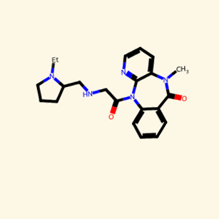 CCN1CCCC1CNCC(=O)N1c2ccccc2C(=O)N(C)c2cccnc21